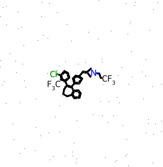 FC(F)(F)CCN1CC(=Cc2ccc(C3=C(c4cccc(Cl)c4C(F)(F)F)CCCc4ccccc43)cc2)C1